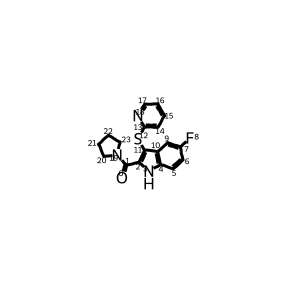 O=C(c1[nH]c2ccc(F)cc2c1Sc1ccccn1)N1CCCC1